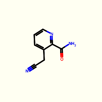 N#CCc1cccnc1C(N)=O